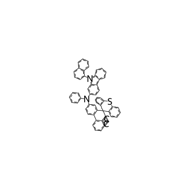 c1ccc(N(c2ccc3c(c2)C2(c4ccccc4Sc4ccccc42)c2cccc4cccc-3c24)c2ccc3c4ccccc4n(-c4cccc5ccccc45)c3c2)cc1